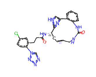 O=C(CCc1cc(Cl)ccc1-n1cnnn1)N[C@H]1C/C=C/CNC(=O)Nc2ccccc2-c2c[nH]c1n2